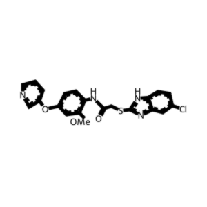 COc1cc(Oc2cccnc2)ccc1NC(=O)CSc1nc2cc(Cl)ccc2[nH]1